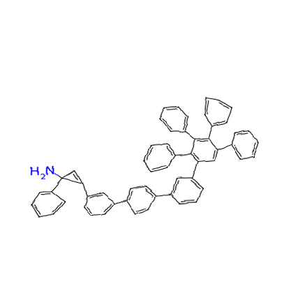 NC1(c2ccccc2)C=C1c1cccc(-c2ccc(-c3cccc(-c4cc(-c5ccccc5)c(-c5ccccc5)c(-c5ccccc5)c4-c4ccccc4)c3)cc2)c1